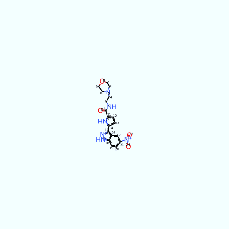 O=C(NCCN1CCOCC1)c1ccc(-c2n[nH]c3ccc([N+](=O)[O-])cc23)[nH]1